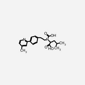 Cc1ccnc(-c2ccc(CCN(C(=O)O)C(CC(C)C)C(=O)O)cc2)c1